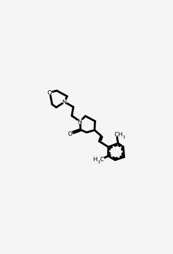 Cc1cccc(C)c1/C=C/C1CCN(CCN2CCOCC2)C(=O)C1